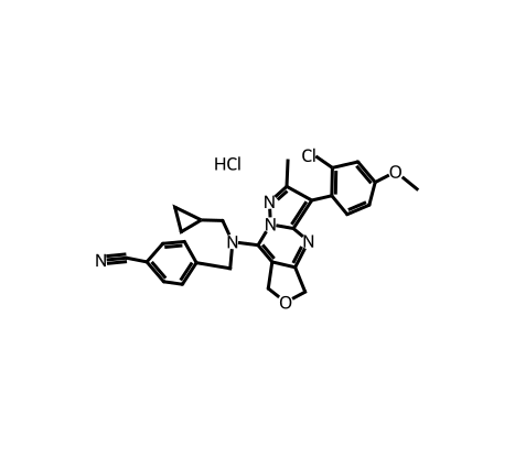 COc1ccc(-c2c(C)nn3c(N(Cc4ccc(C#N)cc4)CC4CC4)c4c(nc23)COC4)c(Cl)c1.Cl